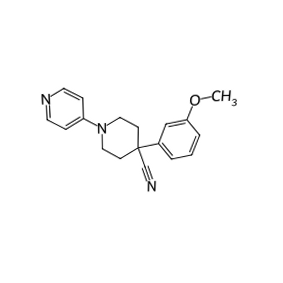 COc1cccc(C2(C#N)CCN(c3ccncc3)CC2)c1